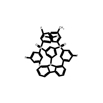 Cc1cc(F)cc(P(=O)(c2cc(F)cc(F)c2)c2cc(-n3c4ccccc4c4ccccc43)cc(P(=O)(c3cc(C)cc(F)c3)c3cc(F)cc(F)c3)c2)c1